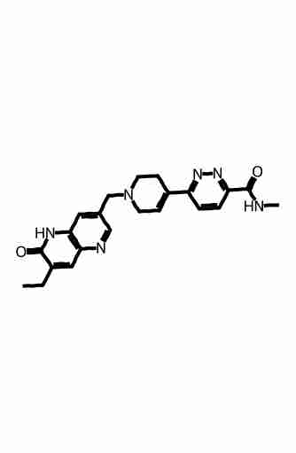 CCc1cc2ncc(CN3CC=C(c4ccc(C(=O)NC)nn4)CC3)cc2[nH]c1=O